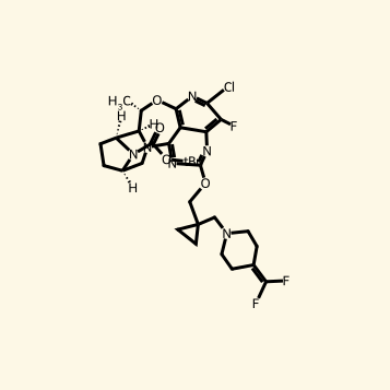 C[C@@H]1Oc2nc(Cl)c(F)c3nc(OCC4(CN5CCC(=C(F)F)CC5)CC4)nc(c23)N2C[C@H]3CC[C@@H]([C@@H]12)N3C(=O)OC(C)(C)C